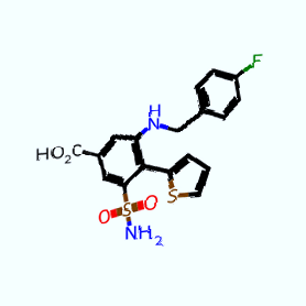 NS(=O)(=O)c1cc(C(=O)O)cc(NCc2ccc(F)cc2)c1-c1cccs1